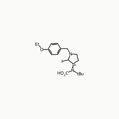 CCOc1ccc(CN2CC[C@@H](N(C(=O)O)C(C)(C)C)C2I)cc1